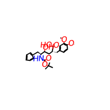 COc1ccc(C[C@H](C[C@H](O)[C@H](Cc2ccccc2)NC(=O)OC(C)(C)C)C(=O)O)cc1OC